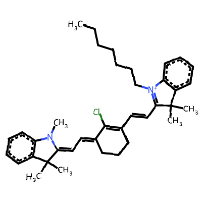 CCCCCCC[N+]1=C(/C=C/C2=C(Cl)C(=C/C=C3\N(C)c4ccccc4C3(C)C)/CCC2)C(C)(C)c2ccccc21